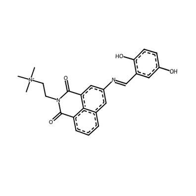 C[N+](C)(C)CCN1C(=O)c2cccc3cc(N=Cc4cc(O)ccc4O)cc(c23)C1=O